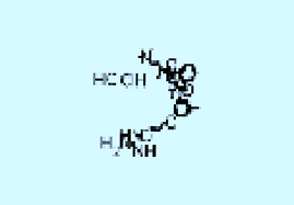 Cc1cc(OCCCONC(=N)N)cc(OS(=O)(=O)c2ccccc2S(=O)(=O)N(C)CCN(C)C)c1.Cl.Cl